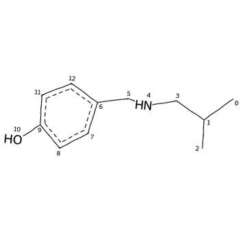 CC(C)CNCc1ccc(O)cc1